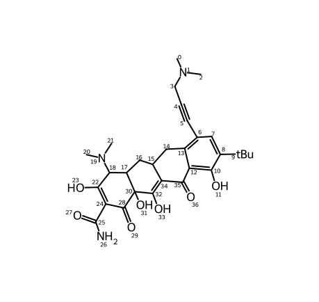 CN(C)CC#Cc1cc(C(C)(C)C)c(O)c2c1CC1CC3C(N(C)C)C(O)=C(C(N)=O)C(=O)C3(O)C(O)=C1C2=O